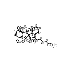 COC1(OC)c2ccccc2C(OC)(OC)C1(c1ccccc1)C(C)CCCCCC(=O)O